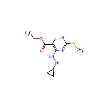 CCOC(=O)c1cnc(SC)nc1NNC1CC1